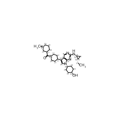 CC[C@H]1C[C@@H]1Nc1ncc2c(C3CCN(C(=O)C4CCCN(C)C4)CC3)cn([C@H]3CC[C@H](O)CC3)c2n1